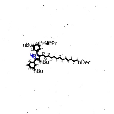 CCCCCCCCCCCCCCCCCCCCCCCC1=C(c2cccc(CCCC)c2)[N+](=[N-])C(c2cccc(CCCC)c2)=C1CCCC.CC[CH2][Ni][CH2]CC